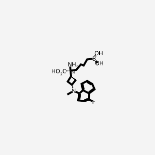 CN(c1ccc(F)c2ccccc12)[C@H]1C[C@H]([C@@](N)(CCCCB(O)O)C(=O)O)C1